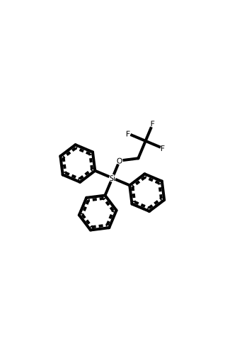 FC(F)(F)CO[Si](c1ccccc1)(c1ccccc1)c1ccccc1